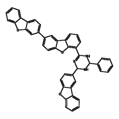 c1ccc(C2NC(c3cccc4c3oc3ccc(-c5ccc6c(c5)oc5ccccc56)cc34)=NC(c3ccc4oc5ccccc5c4c3)N2)cc1